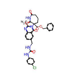 Cc1nc2ccc(CNC(=O)Nc3ccc(Cl)cc3)cc2c(=O)n1C1(C(=O)OCc2ccccc2)CCCC(=O)NC1=O